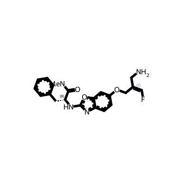 CNC(=O)[C@@H](Cc1ccccc1)Nc1nc2ccc(OC/C(=C\F)CN)cc2o1